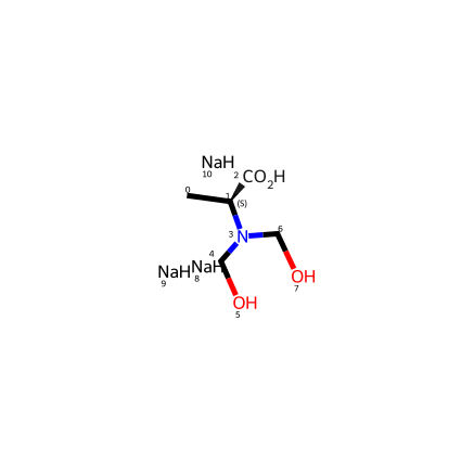 C[C@@H](C(=O)O)N(CO)CO.[NaH].[NaH].[NaH]